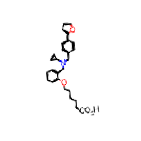 O=C(O)CCCCCOc1ccccc1CN(Cc1ccc(-c2ccco2)cc1)C1CC1